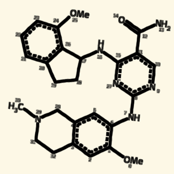 COc1cc2c(cc1Nc1ncc(C(N)=O)c(NC3CCc4cccc(OC)c43)n1)CN(C)CC2